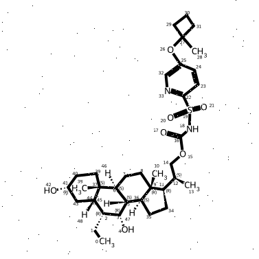 CC[C@H]1[C@@H](O)[C@@H]2[C@H](CC[C@]3(C)[C@@H]([C@H](C)COC(=O)NS(=O)(=O)c4ccc(OC5(C)CCC5)cn4)CC[C@@H]23)[C@@]2(C)CC[C@@H](O)C[C@@H]12